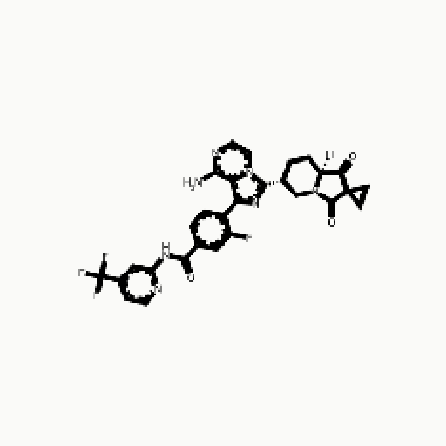 Nc1nccn2c([C@@H]3CC[C@H]4C(=O)C5(CC5)C(=O)N4C3)nc(-c3ccc(C(=O)Nc4cc(C(F)(F)F)ccn4)cc3F)c12